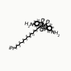 CC(C)CCCCCCCCCCCCCCC(=O)[O][Zr](=[O])([O]C(C)C)([C](=O)c1ccc(N)cc1)[C](=O)c1ccc(N)cc1